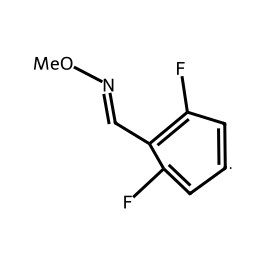 CON=Cc1c(F)c[c]cc1F